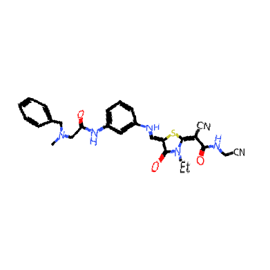 CCn1c(=C(C#N)C(=O)NCC#N)sc(=CNc2cccc(NC(=O)CN(C)Cc3ccccc3)c2)c1=O